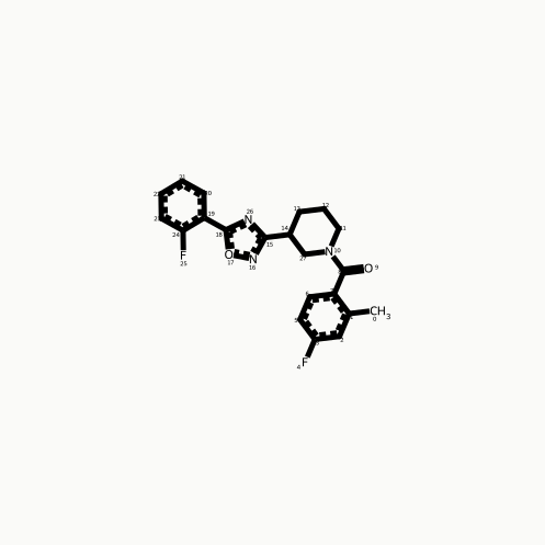 Cc1cc(F)ccc1C(=O)N1CCCC(c2noc(-c3ccccc3F)n2)C1